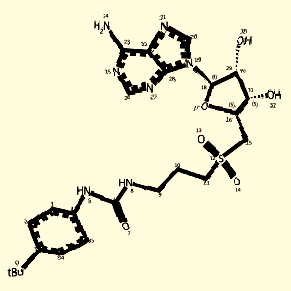 CC(C)(C)c1ccc(NC(=O)NCCCS(=O)(=O)C[C@H]2O[C@@H](n3cnc4c(N)ncnc43)[C@H](O)[C@@H]2O)cc1